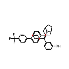 Oc1cccc(C(=C2CC3CCC(C2)N3Cc2ccccc2)c2ccc(-c3ccc(C(F)(F)F)cc3)cc2)c1